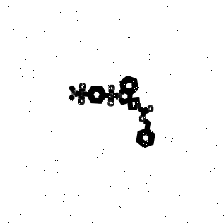 CN(C)S(=O)(=O)c1ccc(S(=O)(=O)N2CC3(CN(C(=O)OCc4ccccc4)C3)c3ccccc32)cc1